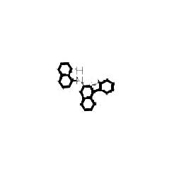 c1ccc2c(Nc3cc4ccccc4c4c3oc3ccccc34)cccc2c1